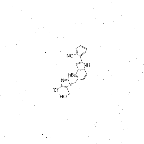 CCCCc1nc(Cl)c(CO)n1Cc1ccc2[nH]c(-c3ccccc3C#N)cc2c1